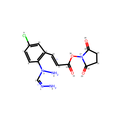 N/N=C\N(N)c1ccc(Cl)cc1/C=C/C(=O)ON1C(=O)CCC1=O